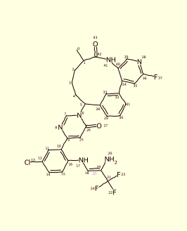 CC1CCCC(n2cnc(-c3cc(Cl)ccc3N/C=C(\N)C(F)(F)F)cc2=O)c2cccc(c2)-c2cc(F)ncc2NC1=O